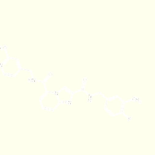 COc1cc(CNC(=O)c2cccc3nc(C(=O)NCc4ccc(F)c(C)c4)cn23)ccn1